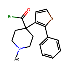 CC(=O)N1CCC(C(=O)Br)(c2ccsc2-c2ccccc2)CC1